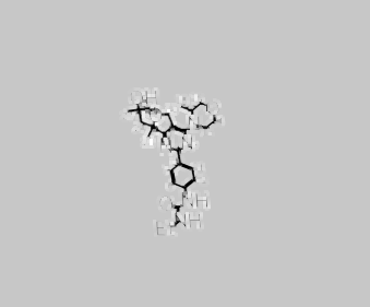 CCNC(=O)Nc1ccc(-c2nc(N3CCOCC3C)c3c(n2)C(C)(CC(C)(C)O)OC3)cc1